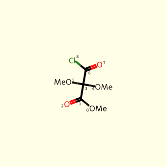 COC(=O)C(OC)(OC)C(=O)Cl